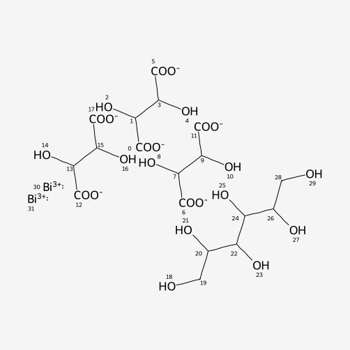 O=C([O-])C(O)C(O)C(=O)[O-].O=C([O-])C(O)C(O)C(=O)[O-].O=C([O-])C(O)C(O)C(=O)[O-].OCC(O)C(O)C(O)C(O)CO.[Bi+3].[Bi+3]